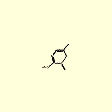 [CH2]OC1=NC=C(C)CN1C